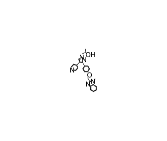 C[C@@H](O)Cn1cc(-c2ccncc2)c(-c2ccc(OCc3nc4ccccc4n3C)cc2)n1